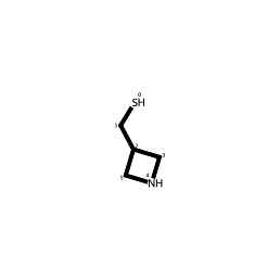 SCC1CNC1